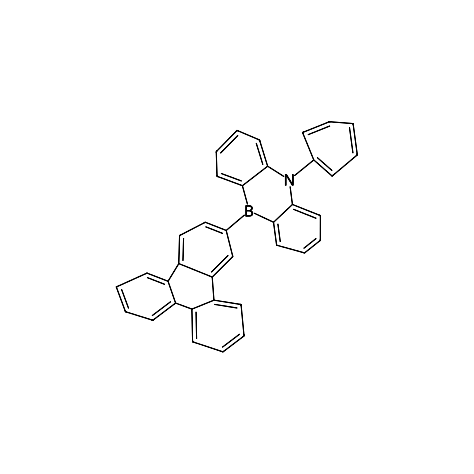 c1ccc(N2c3ccccc3B(c3ccc4c5ccccc5c5ccccc5c4c3)c3ccccc32)cc1